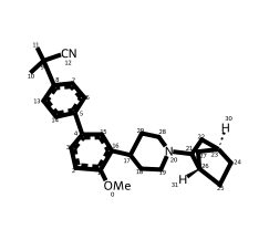 COc1ccc(-c2ccc(C(C)(C)C#N)cc2)cc1C1CCN(C2C[C@H]3CC[C@H]2C3)CC1